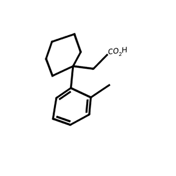 Cc1ccccc1C1(CC(=O)O)CCCCC1